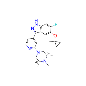 C[C@@H]1CN(c2cc(-c3n[nH]c4cc(F)c(OC5(C)CC5)cc34)ccn2)C[C@H](C)N1C